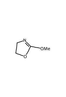 COC1=NCCO1